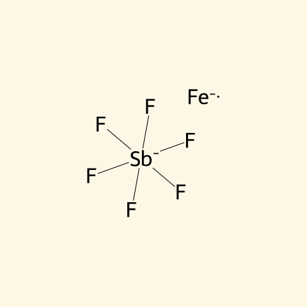 [F][Sb-]([F])([F])([F])([F])[F].[Fe-]